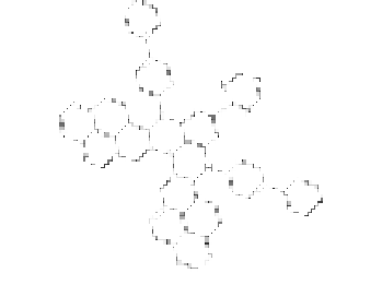 c1ccc(-c2ccc(N3c4cc(-c5ncncn5)cc5c4B(c4cc6ccc7cccc8ccc(c43)c6c78)c3cc4ccc6cccc7ccc(c3N5c3ccc(-c5ccccc5)cc3)c4c67)cc2)cc1